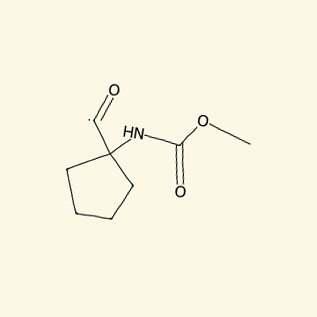 COC(=O)NC1([C]=O)CCCC1